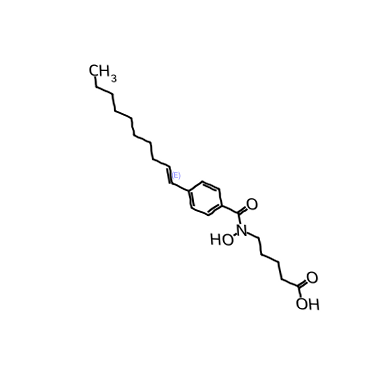 CCCCCCCC/C=C/c1ccc(C(=O)N(O)CCCCC(=O)O)cc1